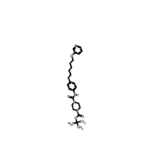 CC(C)(C)OC(=O)N1CCN(C(=O)Nc2ccc(CCCCCCOc3cccnc3)cc2)CC1